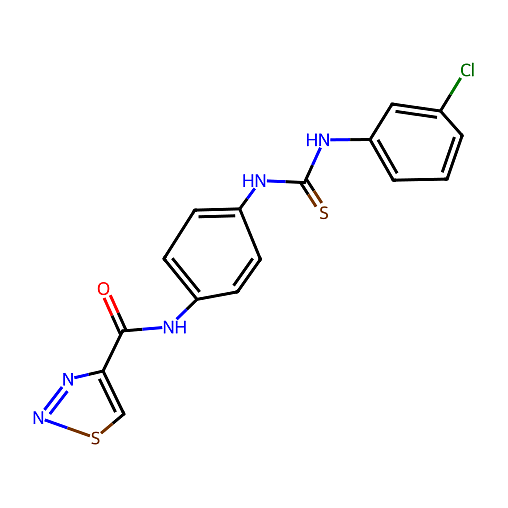 O=C(Nc1ccc(NC(=S)Nc2cccc(Cl)c2)cc1)c1csnn1